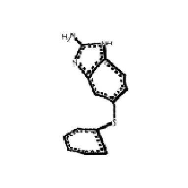 Nc1nc2cc(Sc3ccccc3)ccc2[nH]1